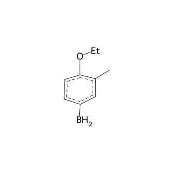 Bc1ccc(OCC)c(C)c1